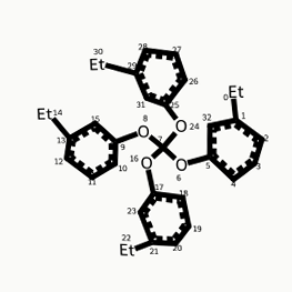 CCc1cccc(OC(Oc2cccc(CC)c2)(Oc2cccc(CC)c2)Oc2cccc(CC)c2)c1